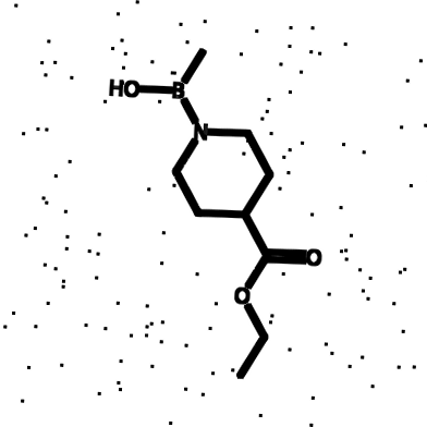 CCOC(=O)C1CCN(B(C)O)CC1